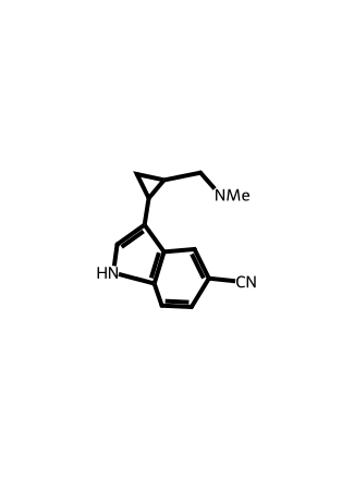 CNCC1CC1c1c[nH]c2ccc(C#N)cc12